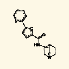 O=C(NC1CN2CCC1CC2)c1ccc(-c2ccccn2)o1